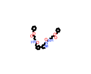 O=C(Cc1cccc(-c2ccnc(CNC(=O)NCCCC(=O)OCc3ccccc3)c2)c1)NCCCC(=O)OCc1ccccc1